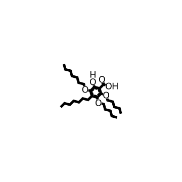 CCCCCCCOc1c(O)c(C(=O)O)c(OCCCCC)c(OCCCCC)c1CCCCCCC